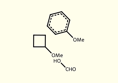 COC1CCC1.COc1ccccc1.O=CO